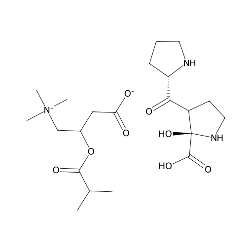 CC(C)C(=O)OC(CC(=O)[O-])C[N+](C)(C)C.O=C(C1CCN[C@]1(O)C(=O)O)[C@@H]1CCCN1